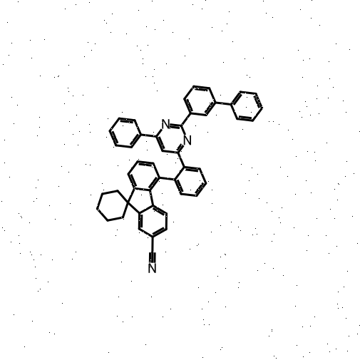 N#Cc1ccc2c(c1)C1(CCCCC1)c1cccc(-c3ccccc3-c3cc(-c4ccccc4)nc(-c4cccc(-c5ccccc5)c4)n3)c1-2